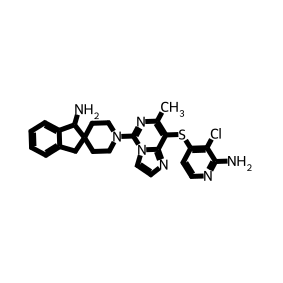 Cc1nc(N2CCC3(CC2)Cc2ccccc2C3N)n2ccnc2c1Sc1ccnc(N)c1Cl